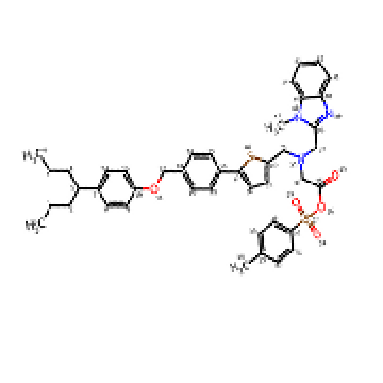 CCCC(CCC)c1ccc(OCc2ccc(-c3ccc(CN(CC(=O)OS(=O)(=O)c4ccc(C)cc4)Cc4nc5ccccc5n4C)s3)cc2)cc1